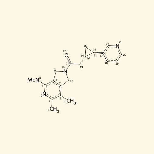 CNc1nc(C)c(C)c2c1CN(C(=O)C[C@@H]1C[C@H]1c1cccnc1)C2